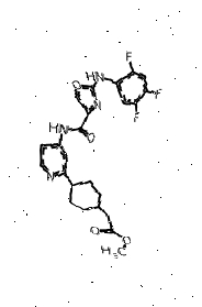 COC(=O)CC1CCC(c2cc(NC(=O)c3coc(Nc4cc(F)c(F)cc4F)n3)ccn2)CC1